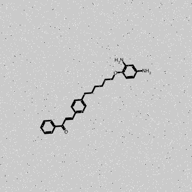 Nc1ccc(OCCCCCCc2ccc(C=CC(=O)c3ccccc3)cc2)c(N)c1